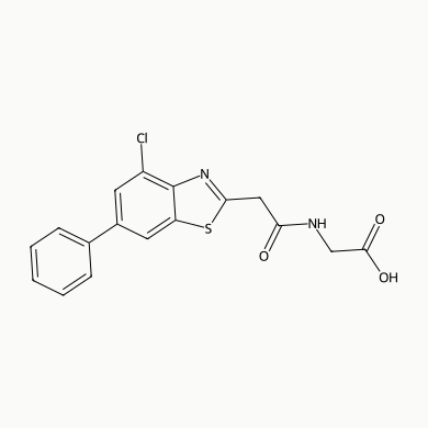 O=C(O)CNC(=O)Cc1nc2c(Cl)cc(-c3ccccc3)cc2s1